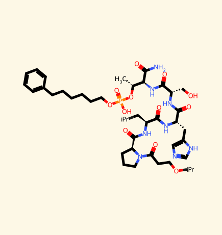 CC(C)C[C@H](NC(=O)[C@@H]1CCCN1C(=O)CCOC(C)C)C(=O)N[C@@H](Cc1cnc[nH]1)C(=O)N[C@@H](CO)C(=O)N[C@H](C(N)=O)[C@@H](C)OP(=O)(O)OCCCCCCc1ccccc1